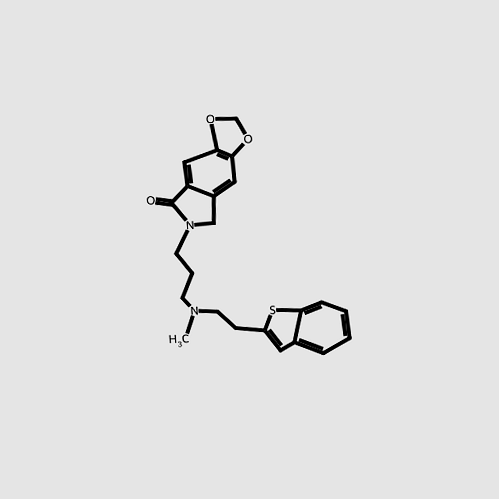 CN(CCCN1Cc2cc3c(cc2C1=O)OCO3)CCc1cc2ccccc2s1